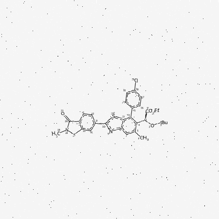 CCOC(=O)[C@@H](OC(C)(C)C)c1c(C)cc2nc(-c3ccc4c(c3)CN(C)C4=O)sc2c1-c1ccc(Cl)cc1